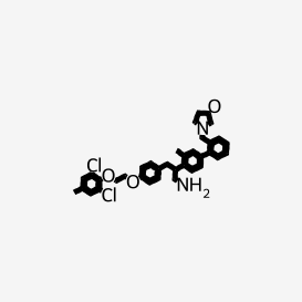 Cc1cc(Cl)c(OCCOc2ccc(CC(CN)c3ccc(-c4ccccc4CN4CCC(=O)C4)cc3C)cc2)c(Cl)c1